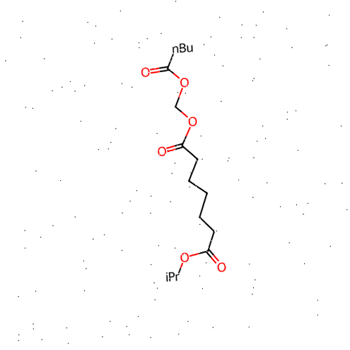 CCCCC(=O)OCOC(=O)CCCCCC(=O)OC(C)C